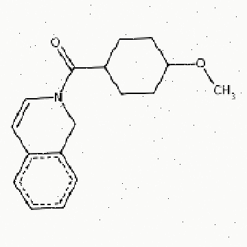 COC1CCC(C(=O)N2C=Cc3ccccc3C2)CC1